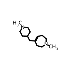 CN1CCC=C(CC2CCN(C)CC2)CC1